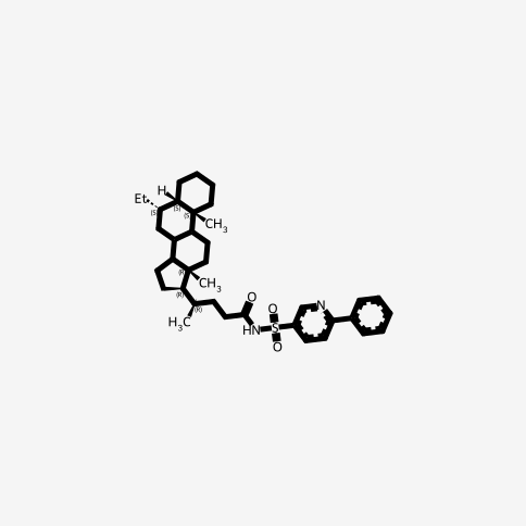 CC[C@H]1CC2C3CC[C@H]([C@H](C)CCC(=O)NS(=O)(=O)c4ccc(-c5ccccc5)nc4)[C@@]3(C)CCC2[C@@]2(C)CCCC[C@@H]12